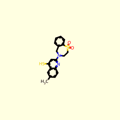 Cc1ccc2nc(N3CCS(=O)(=O)c4ccccc4C3)cc(S)c2c1